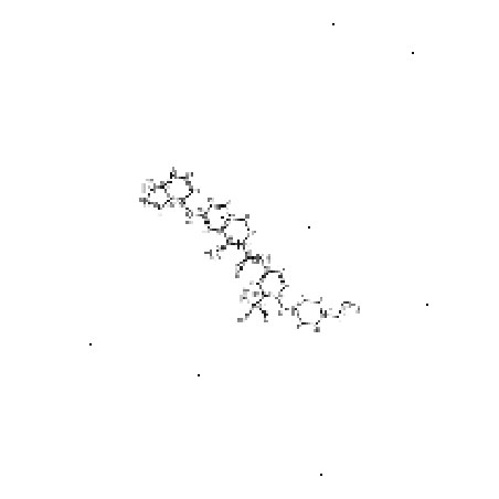 CCN1CCN(Cc2ccc(NC(=O)N3CCc4ccc(Oc5ccnc6[nH]ncc56)cc4[C@@H]3C)cc2C(F)(F)F)CC1